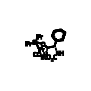 CCOC(=O)N[C@@H](c1ccccc1)[C@@H](O[Si](C(C)C)(C(C)C)C(C)C)C(=O)O